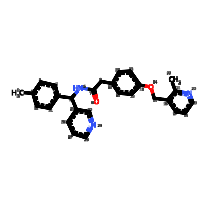 Cc1ccc(C(NC(=O)Cc2ccc(OCc3cccnc3C)cc2)c2cccnc2)cc1